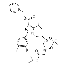 CC(C)c1c(C(=O)OCc2ccccc2)nc(-c2ccc(F)c(F)c2)n1CC[C@@H]1C[C@H](CC(=O)OC(C)(C)C)OC(C)(C)O1